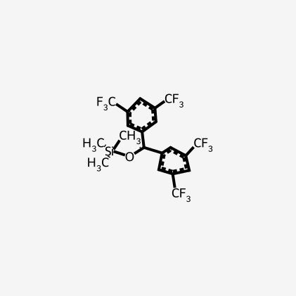 C[Si](C)(C)O[C](c1cc(C(F)(F)F)cc(C(F)(F)F)c1)c1cc(C(F)(F)F)cc(C(F)(F)F)c1